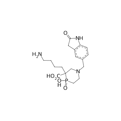 NCCCCC1(C(=O)O)CN(Cc2ccc3c(c2)CC(=O)N3)CCP1(=O)O